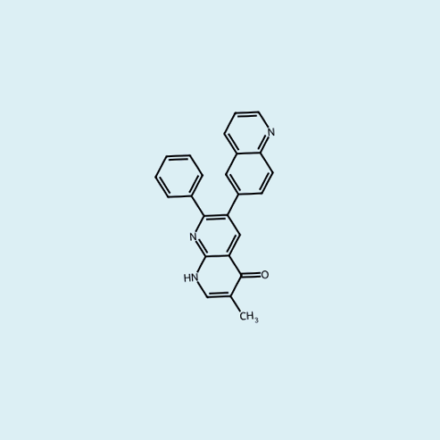 Cc1c[nH]c2nc(-c3ccccc3)c(-c3ccc4ncccc4c3)cc2c1=O